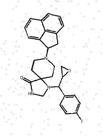 O=C1NCN(C(c2ccc(F)cc2)C2CO2)C12CCN(C1Cc3cccc4cccc1c34)CC2